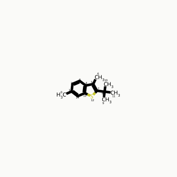 Cc1ccc2c(C)c(C(C)(C)C)sc2c1